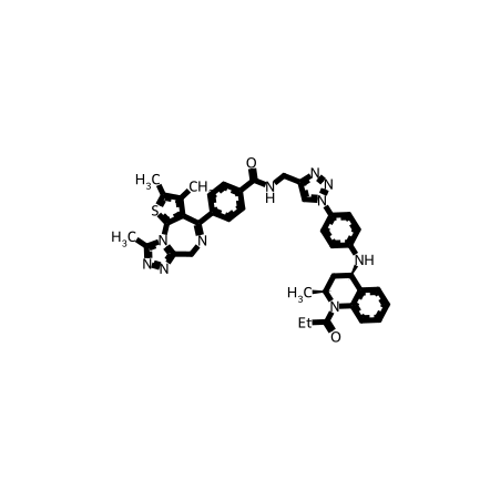 CCC(=O)N1c2ccccc2[C@H](Nc2ccc(-n3cc(CNC(=O)c4ccc(C5=NCc6nnc(C)n6-c6sc(C)c(C)c65)cc4)nn3)cc2)C[C@@H]1C